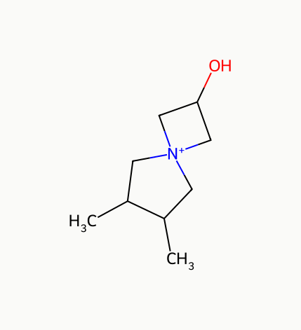 CC1C[N+]2(CC(O)C2)CC1C